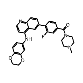 CN1CCN(C(=O)c2ccc(-c3ccc4nccc(Nc5ccc6c(c5)OCCO6)c4c3)c(F)c2)CC1